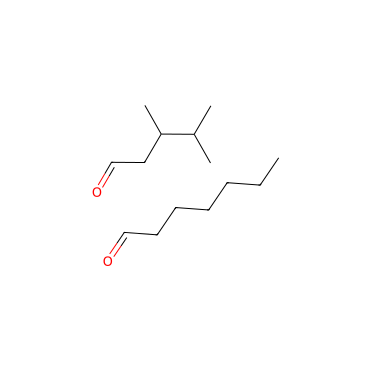 CC(C)C(C)CC=O.CCCCCCC=O